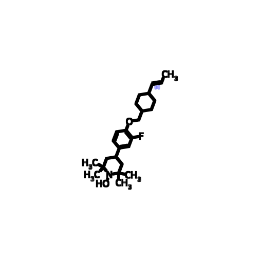 C/C=C/C1CCC(COc2ccc(C3CC(C)(C)N(O)C(C)(C)C3)cc2F)CC1